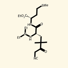 [C-]#[N+]CC(=O)C(C)(C)C[C@H](NN(CC)CC)C(=O)N[C@@H](CCSC)C(=O)OCC